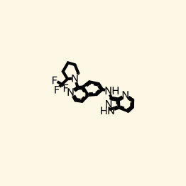 FC(F)(F)C1CCCCN1c1nccc2cc(Nc3n[nH]c4cccnc34)ccc12